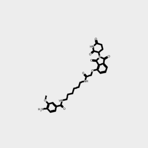 COc1cc(C(=O)NCCCCCCNC(=O)COc2cccc3c2C(=O)N(C2CCC(=O)NC2=O)C3=O)ccc1N